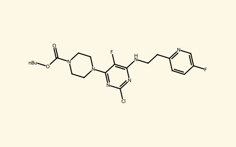 CCCCOC(=O)N1CCN(c2nc(Cl)nc(NCCc3ccc(F)cn3)c2F)CC1